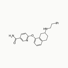 CC(C)CCNC1CCc2cccc(Oc3ccc(C(N)=O)cn3)c2C1